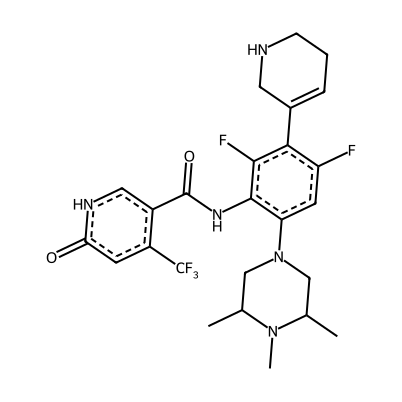 CC1CN(c2cc(F)c(C3=CCCNC3)c(F)c2NC(=O)c2c[nH]c(=O)cc2C(F)(F)F)CC(C)N1C